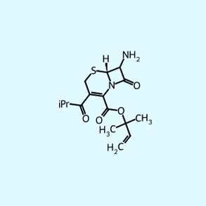 C=CC(C)(C)OC(=O)C1=C(C(=O)C(C)C)CS[C@@H]2C(N)C(=O)N12